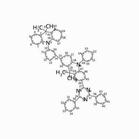 CC1(C)c2ccccc2N(c2cccc(-c3ccc4c(c3)C(C)(C)c3cc(-c5nc(-c6ccccc6)nc(-c6ccccc6)n5)ccc3N4c3ccccc3)c2)c2ccccc21